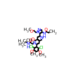 C=CC(=O)Nc1cnn(CCOC)c1-c1cc2c(=O)n(CC(=O)NC(C)(C)C)c(-c3c(Cl)c(OC)cc(OC)c3Cl)cc2cn1